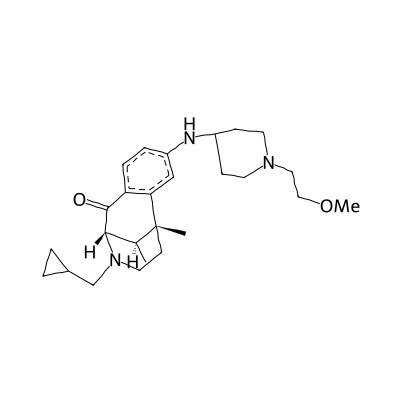 COCCN1CCC(Nc2ccc3c(c2)[C@]2(C)CCN(CC4CC4)[C@H](C3=O)[C@@H]2C)CC1